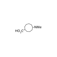 CNC1CCCCC(C(=O)O)CCC1